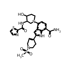 CS(=O)(=O)N1CC=C(c2cc3c(N4CCC(O)C(NC(=O)c5nccs5)C4)ccc(C(N)=O)c3[nH]2)CC1